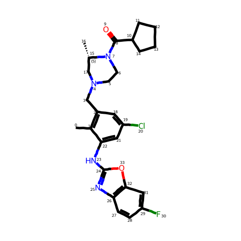 Cc1c(CN2CCN(C(=O)C3CCCC3)[C@@H](C)C2)cc(Cl)cc1Nc1nc2ccc(F)cc2o1